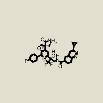 NC(=O)[C@@]1(CF)COc2c1cc([C@@](O)(CNC(=O)c1ccc3nnc(C4CC4)cc3c1)C(F)(F)F)nc2-c1ccc(F)cc1